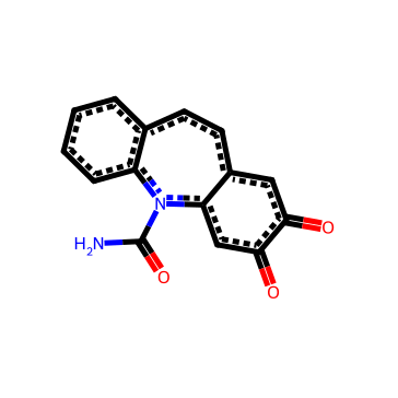 NC(=O)n1c2cc(=O)c(=O)cc-2ccc2ccccc21